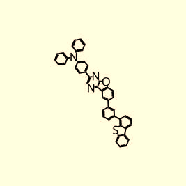 c1ccc(N(c2ccccc2)c2ccc(-c3cnc4c(n3)oc3ccc(-c5cccc(-c6cccc7c6sc6ccccc67)c5)cc34)cc2)cc1